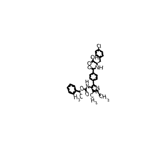 Cc1c(NC(=O)O[C@H](C)c2ccccc2)c(-c2ccc(C(=O)N[C@H](Cc3ccc(Cl)cc3)C(=O)O)cc2)nn1C